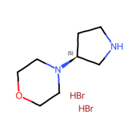 Br.Br.C1C[C@H](N2CCOCC2)CN1